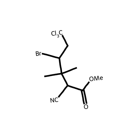 COC(=O)C(C#N)C(C)(C)C(Br)CC(Cl)(Cl)Cl